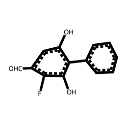 O=Cc1cc(O)c(-c2ccccc2)c(O)c1F